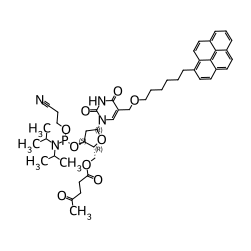 CC(=O)CCC(=O)OC[C@H]1O[C@@H](n2cc(COCCCCCCc3ccc4ccc5cccc6ccc3c4c56)c(=O)[nH]c2=O)C[C@@H]1OP(OCCC#N)N(C(C)C)C(C)C